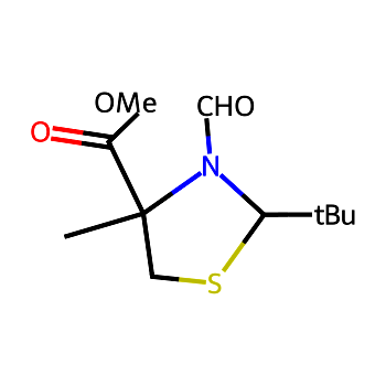 COC(=O)C1(C)CSC(C(C)(C)C)N1C=O